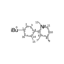 CCC(C)c1ccc(-c2c(C)c(C)cc[n+]2C)c(C)c1